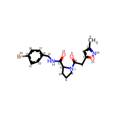 Cc1cc(CC(=O)N2CCCC2C(=O)NCc2ccc(Br)cc2)on1